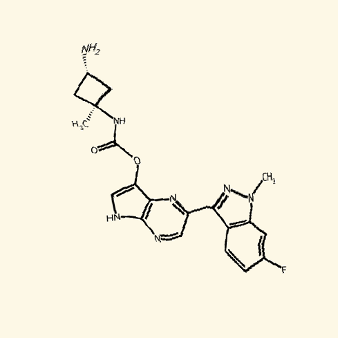 Cn1nc(-c2cnc3[nH]cc(OC(=O)N[C@]4(C)C[C@@H](N)C4)c3n2)c2ccc(F)cc21